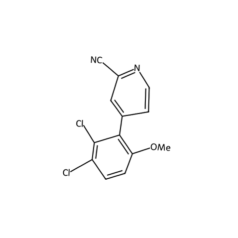 COc1ccc(Cl)c(Cl)c1-c1ccnc(C#N)c1